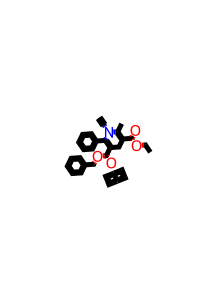 C#CN1C(C)=C(C(=O)OCC)CC(C(=O)OCc2ccccc2)=C1c1ccccc1.c1cc2ccc1-2